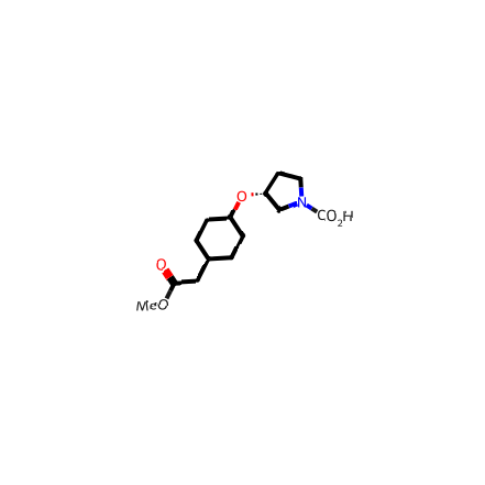 COC(=O)CC1CCC(O[C@@H]2CCN(C(=O)O)C2)CC1